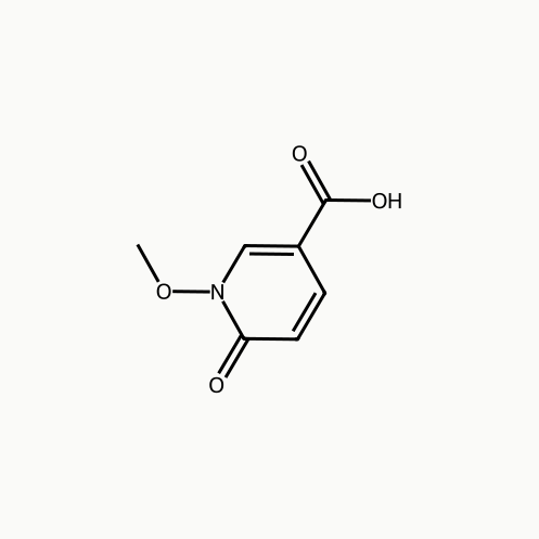 COn1cc(C(=O)O)ccc1=O